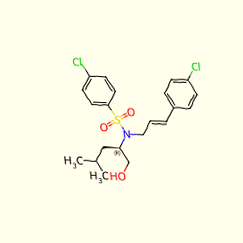 CC(C)C[C@H](CO)N(CC=Cc1ccc(Cl)cc1)S(=O)(=O)c1ccc(Cl)cc1